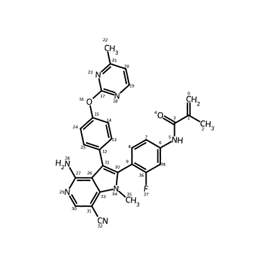 C=C(C)C(=O)Nc1ccc(-c2c(-c3ccc(Oc4nccc(C)n4)cc3)c3c(N)ncc(C#N)c3n2C)c(F)c1